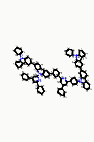 c1ccc(-c2cc(-c3ccc(-n4c5ccccc5c5ccc(-c6ccc7c(c6)c6ccccc6n7-c6ccccc6)cc54)cc3)nc(-c3cccc(-c4ccc5c(c4)c4ccc(-c6ccc7c(c6)c6ccccc6n7-c6ccccc6)cc4n5-c4cc(-c5ccccc5)cc(-c5ccccc5)n4)c3)c2)cc1